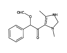 CC1=C(C(=O)C(OC=O)c2ccccc2)N(C)CN1